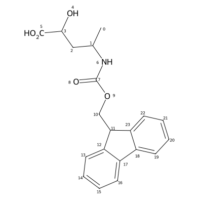 CC(CC(O)C(=O)O)NC(=O)OCC1c2ccccc2-c2ccccc21